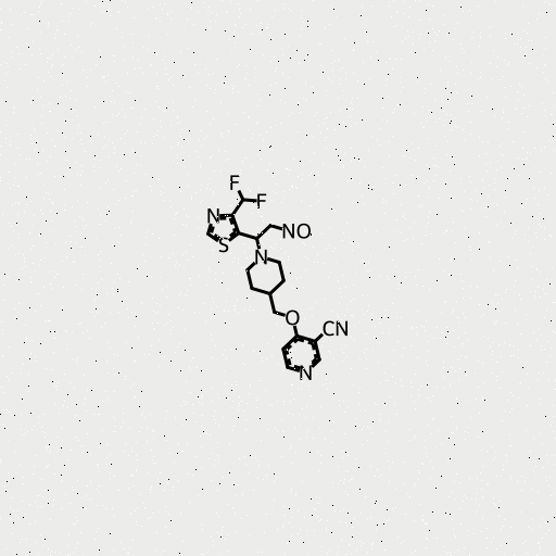 N#Cc1cnccc1OCC1CCN(C(CN=O)c2scnc2C(F)F)CC1